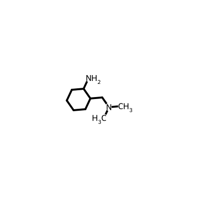 CN(C)CC1CCCCC1N